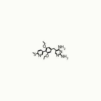 CCOc1cc(Cc2cnc(N)nc2N)cc(OCC)c1-c1ccc(SC)nc1